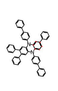 c1ccc(-c2ccc(N(c3ccccc3)c3cc(-c4ccccc4)c(-c4ccccc4)cc3N(c3ccc(-c4ccccc4)cc3)c3ccc(-c4ccccc4)cc3)cc2)cc1